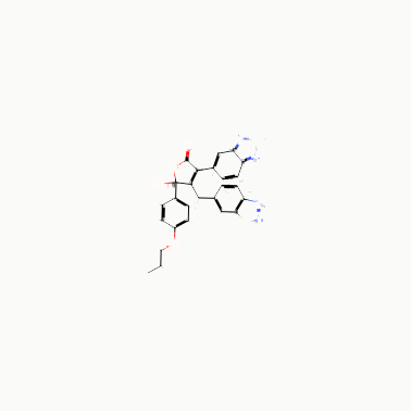 CCCOc1ccc(C2(O)OC(=O)C(c3ccc4nsnc4c3)=C2Cc2ccc3nnsc3c2)cc1